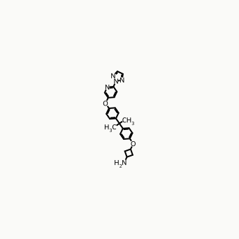 CC(C)(c1ccc(Oc2ccc(-n3nccn3)nc2)cc1)c1ccc(OC2CC(N)C2)cc1